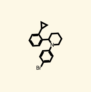 Brc1ccc(N2CCCCC2c2ccccc2C2CC2)cc1